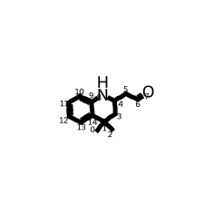 CC1(C)CC(CC=O)Nc2ccccc21